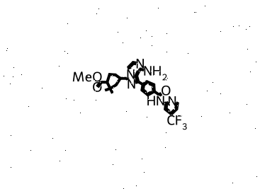 COC(=O)C1CCC(c2nc(-c3ccc(C(=O)Nc4cc(C(F)(F)F)ccn4)cc3)c3c(N)nccn23)CC1(C)C